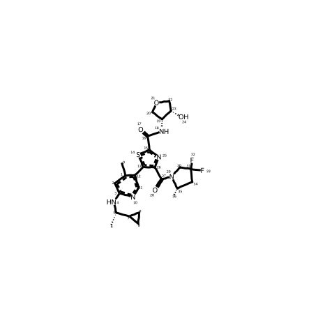 Cc1cc(N[C@@H](C)C2CC2)ncc1-c1sc(C(=O)N[C@@H]2COC[C@@H]2O)nc1C(=O)N1CC(F)(F)C[C@@H]1C